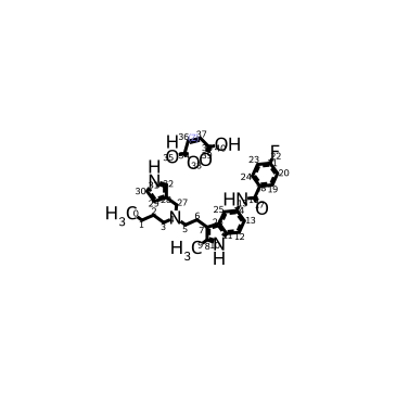 CCCCN(CCc1c(C)[nH]c2ccc(NC(=O)c3ccc(F)cc3)cc12)Cc1cc[nH]c1.O=C(O)/C=C\C(=O)O